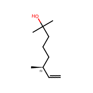 C=C[C@@H](C)CCCC(C)(C)O